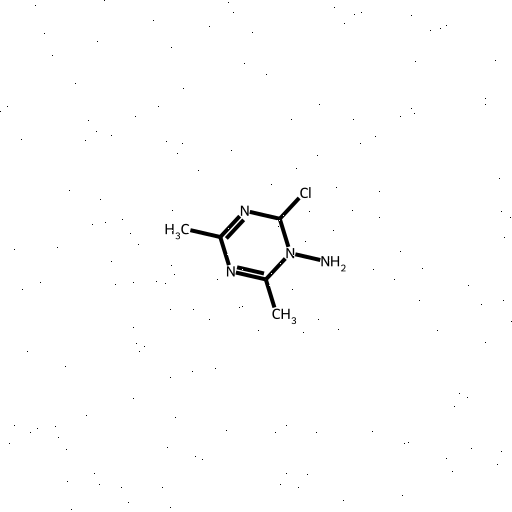 CC1=NC(Cl)N(N)C(C)=N1